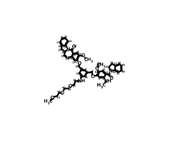 CNc1cc(OCc2cc(COc3cc4c(cc3OC)C(=O)N3c5ccccc5CC3C=N4)cc(NCCOCCOCCOC)c2)c(OC)cc1C(=O)N1CCc2ccccc21